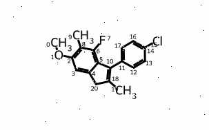 COc1cc2c(c(F)c1C)C(c1ccc(Cl)cc1)=C(C)C2